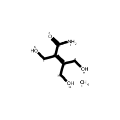 C.NC(=O)C(CO)=C(CO)CO